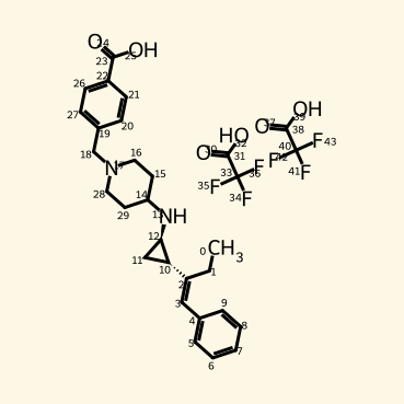 CC/C(=C\c1ccccc1)[C@@H]1C[C@H]1NC1CCN(Cc2ccc(C(=O)O)cc2)CC1.O=C(O)C(F)(F)F.O=C(O)C(F)(F)F